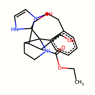 CCOC(=O)[N+]12CCC(C(CO)C1CO)C21c2ccccc2CCN2C=CNC21